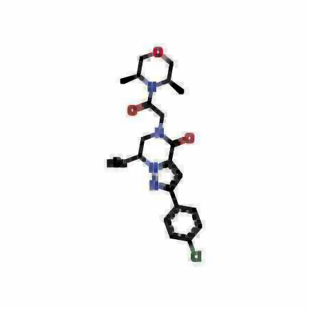 CCCCC1CN(CC(=O)N2[C@H](C)COC[C@@H]2C)C(=O)c2cc(-c3ccc(Cl)cc3)nn21